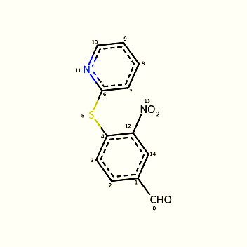 O=Cc1ccc(Sc2ccccn2)c([N+](=O)[O-])c1